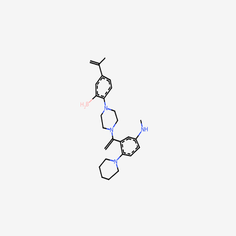 Bc1cc(C(=C)C)ccc1N1CCN(C(=C)c2cc(NC)ccc2N2CCCCC2)CC1